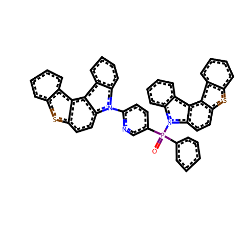 O=P(c1ccccc1)(c1ccc(-n2c3ccccc3c3c4c(ccc32)sc2ccccc24)nc1)n1c2ccccc2c2c3c(ccc21)sc1ccccc13